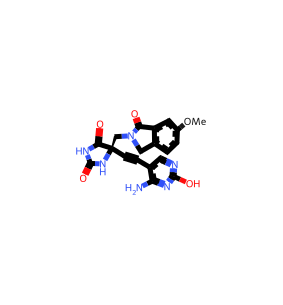 COc1ccc2c(c1)C(=O)N(C[C@@]1(C#Cc3cnc(O)nc3N)NC(=O)NC1=O)C2